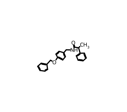 CC(C(=O)NCc1ccc(OCc2ccccc2)cc1)c1ccccc1